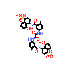 Cc1ccc(NC(=O)C(=O)Nc2ccc(C)c(C(=O)Nc3ccc(S(=O)(=O)O)c4cccc(O)c34)c2)cc1C(=O)Nc1ccc(S(=O)(=O)O)c2cccc(O)c12